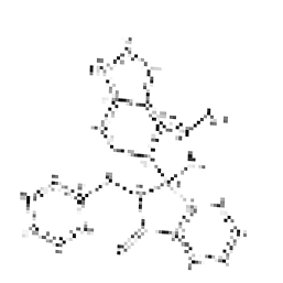 O=C1c2ccccc2C(OC(=O)C(F)(F)F)(c2ccc3[nH]ncc3c2)N1Cc1ccccc1